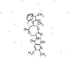 Cc1cc(C(=O)N[C@H]2COC(=O)[C@H](Cc3ccccc3)[C@@H](OC(=O)C(C)C)[C@H](C)OC2=O)c(O)nc1C